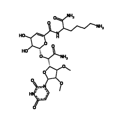 COC1C(OC)[C@@H](C(O[C@H]2OC(C(=O)NC(CCCCN)C(N)=O)=CC(O)C2O)C(N)=O)OC1n1ccc(=O)[nH]c1=O